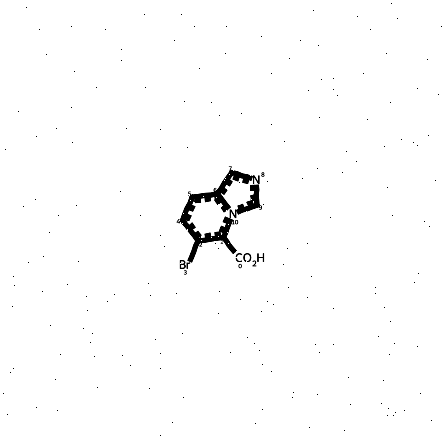 O=C(O)c1c(Br)ccc2cncn12